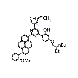 C=C/C(=C\C=C/C)c1cc(-c2ccc(OCC(CC)CCCC)cc2O)nc(-c2ccc3ccc4c(-c5ccccc5OC)ccc5ccc2c3c54)n1